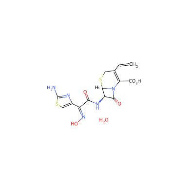 C=CC1=C(C(=O)O)N2C(=O)[C@@H](NC(=O)C(=NO)c3csc(N)n3)[C@H]2SC1.O